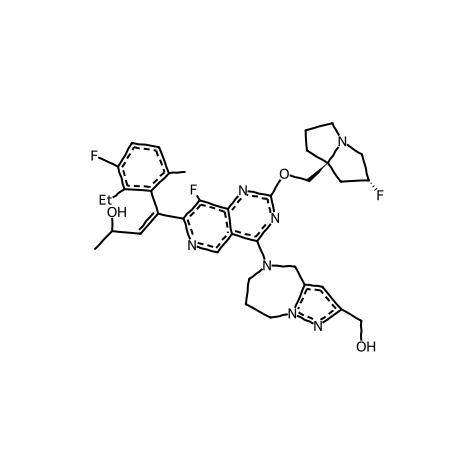 CCc1c(F)ccc(C)c1/C(=C\C(C)O)c1ncc2c(N3CCCn4nc(CO)cc4C3)nc(OC[C@@]34CCCN3C[C@H](F)C4)nc2c1F